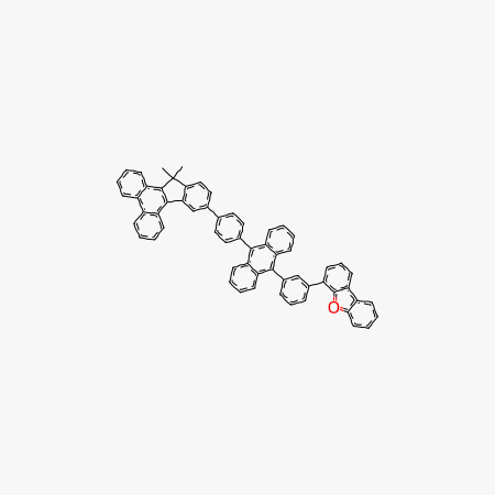 CC1(C)c2ccc(-c3ccc(-c4c5ccccc5c(-c5cccc(-c6cccc7c6oc6ccccc67)c5)c5ccccc45)cc3)cc2-c2c1c1ccccc1c1ccccc21